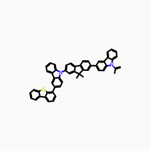 C=C(C)n1c2ccccc2c2cc(-c3ccc4c(c3)C(C)(C)c3cc(-n5c6ccccc6c6cc(-c7cccc8c7sc7ccccc78)ccc65)ccc3-4)ccc21